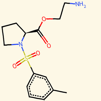 Cc1[c]ccc(S(=O)(=O)N2CCC[C@H]2C(=O)OCCN)c1